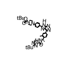 Cc1cc(-c2ncnc3[nH]c(-c4ccc(N5CCN(C(=O)OC(C)(C)C)CC5)cc4)nc23)ccc1[C@@H](C)NC(=O)c1nc(C(C)(C)C)no1